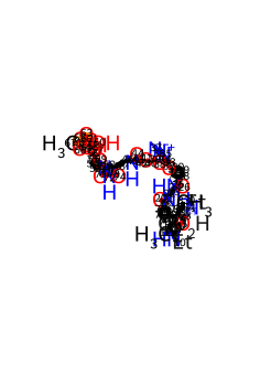 CC/N=c1/cc2oc3cc(NCC)c(C)cc3c(-c3cc(C(=O)NCCNC(=O)c4cccc(OCC(N=[N+]=[N-])OCCOCC(=O)NCC#Cc5cn([C@H]6CC[C@@H](COP(=O)(O)OP(=O)(O)OP(C)O)O6)c(=O)[nH]c5=O)c4)ccc3C(=O)O)c-2cc1C